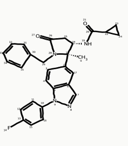 C[C@@]1(c2ccc3c(cnn3-c3ccc(F)cc3)c2)[C@@H](NC(=O)C2CC2)CC(=O)N1Cc1ccccc1